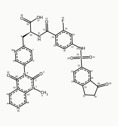 Cn1c(=O)n(-c2ccc(C[C@H](NC(=O)c3ccc(NS(=O)(=O)c4ccc5c(c4)C(=O)CC5)cc3F)C(=O)O)nc2)c(=O)c2ccncc21